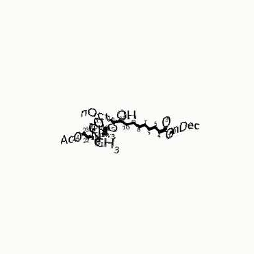 CCCCCCCCCCOC(=O)CCCCCCCC(O)C(CCCCCCCC)OC(=O)C[N+](C)(C)CCOC(C)=O